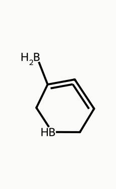 BC1=C=CCBC1